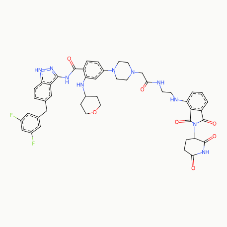 O=C(CN1CCN(c2ccc(C(=O)Nc3n[nH]c4ccc(Cc5cc(F)cc(F)c5)cc34)c(NC3CCOCC3)c2)CC1)NCCNc1cccc2c1C(=O)N(C1CCC(=O)NC1=O)C2=O